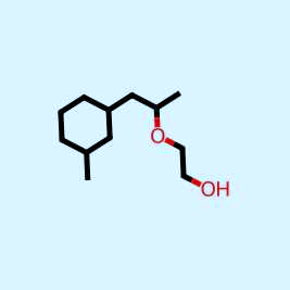 CC1CCCC(CC(C)OCCO)C1